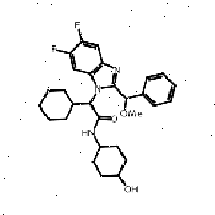 COC(c1ccccc1)c1nc2cc(F)c(F)cc2n1C(C(=O)NC1CCC(O)CC1)C1CCCCC1